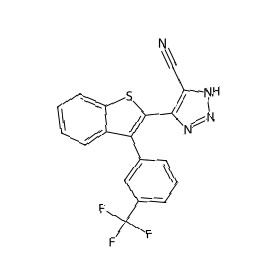 N#Cc1[nH]nnc1-c1sc2ccccc2c1-c1cccc(C(F)(F)F)c1